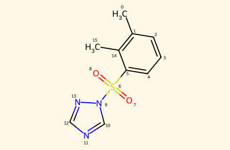 Cc1cccc(S(=O)(=O)n2cncn2)c1C